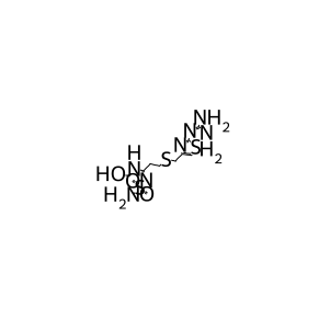 NC(N)=Nc1nc(CSCCC(=NS(N)(=O)=O)NCO)cs1